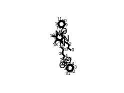 CCCc1nc2c(Oc3ccccc3)nc(C)c(C)c2n1CCCCCS(=O)(=O)c1ccccc1